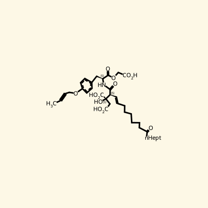 CC#CCOc1ccc(C[C@H](NC(=O)[C@@H](C=CCCCCCCC(=O)CCCCCCC)[C@@](O)(CC(=O)O)C(=O)O)C(=O)OCC(=O)O)cc1